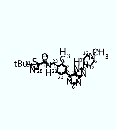 Cc1cc(-c2ncnc3nc(N4CCN(C)CC4)[nH]c23)ccc1CNC(=O)c1cnc(C(C)(C)C)s1